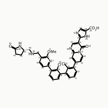 COc1nc(-c2cccc(-c3cccc(-c4ccn5c(=O)c(-c6ncc(C(=O)O)[nH]6)cnc5c4)c3Cl)c2Cl)ccc1CNC[C@@H]1CCC(=O)N1